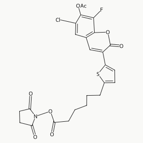 CC(=O)Oc1c(Cl)cc2cc(-c3ccc(CCCCCC(=O)ON4C(=O)CCC4=O)s3)c(=O)oc2c1F